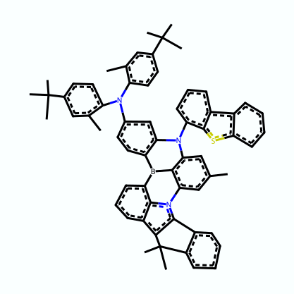 Cc1cc2c3c(c1)-n1c4c(c5cccc(c51)B3c1ccc(N(c3ccc(C(C)(C)C)cc3C)c3ccc(C(C)(C)C)cc3C)cc1N2c1cccc2c1sc1ccccc12)C(C)(C)c1ccccc1-4